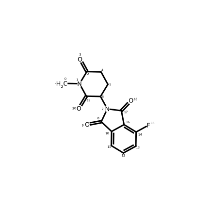 [CH2]N1C(=O)CCC(N2C(=O)c3cccc(F)c3C2=O)C1=O